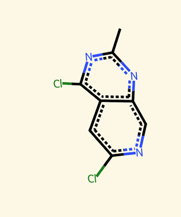 Cc1nc(Cl)c2cc(Cl)ncc2n1